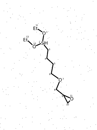 CCO[SiH](CCCCOCC1CO1)OCC